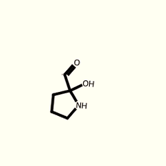 O=[C]C1(O)CCCN1